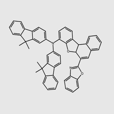 CC1(C)c2ccccc2-c2ccc(N(c3ccc4c(c3)C(C)(C)c3ccccc3-4)c3cccc4c3OC3C(c5nc6ccccc6o5)=Cc5ccccc5C43)cc21